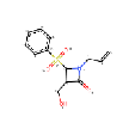 C=CCN1C(=O)C(CO)C1S(=O)(=O)c1ccccc1